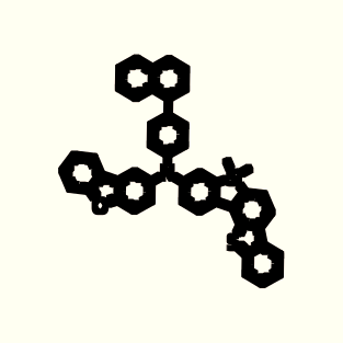 C[Si]1(C)c2cc(N(c3ccc(-c4cccc5ccccc45)cc3)c3ccc4oc5ccccc5c4c3)ccc2-c2c1ccc1c2sc2ccccc21